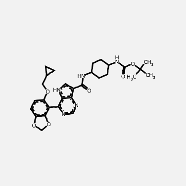 CC(C)(C)OC(=O)NC1CCC(NC(=O)c2c[nH]c3c(-c4c(OCC5CC5)ccc5c4OCO5)ncnc23)CC1